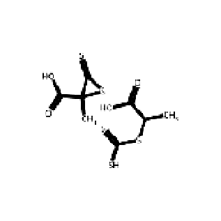 CC(SC(=S)S)C(=O)O.CC1(C(=O)O)SC1=S